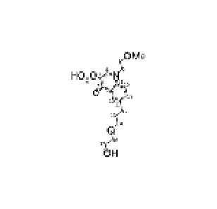 COCCn1cc(C(=O)O)c(=O)c2cc(CCCOCCO)ccc21